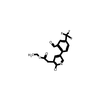 CCOC(=O)Cc1cc(-c2ccc(C(F)(F)F)cc2C=O)cnc1Cl